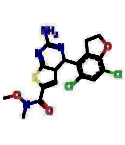 CON(C)C(=O)C1=CC2C(=NC(N)=NC2c2c(Cl)cc(Cl)c3c2CCO3)S1